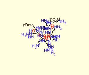 CCCCCCCCCCCCCC(=O)N[C@@H](CCCNC(=N)N)C(=O)N[C@@H](Cc1c[nH]cn1)C(=O)N[C@@H](CCCCN)C(=O)N[C@@H](CCCNC(=N)N)C(=O)N[C@@H](Cc1c[nH]cn1)C(=O)N[C@@H](CCCCN)C(=O)NCC(=O)N[C@@H](Cc1c[nH]cn1)C(=O)N[C@@H](CCCCN)C(=O)O